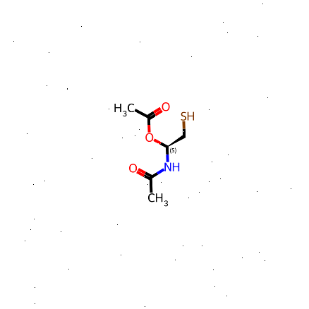 CC(=O)N[C@H](CS)OC(C)=O